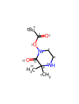 CC(C)(C)C(=O)ON1CCNC(C)(C)C1=O